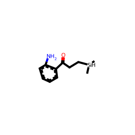 C[SiH](C)CCC(=O)c1ccccc1N